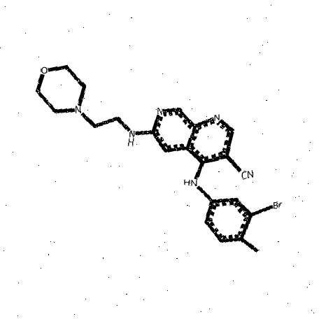 Cc1ccc(Nc2c(C#N)cnc3cnc(NCCN4CCOCC4)cc23)cc1Br